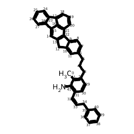 Cc1c(CCCc2ccc3c(c2)Cc2cc4c5c(cccc5c2-3)-c2ccccc2-4)ccc(/C=C\Cc2ccccc2)c1N